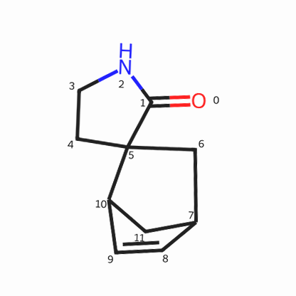 O=C1NCCC12CC1C=CC2C1